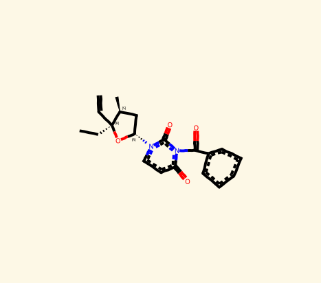 C=C[C@]1(CC)O[C@@H](n2ccc(=O)n(C(=O)c3ccccc3)c2=O)C[C@@H]1C